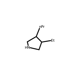 CCCC1CNCC1CC